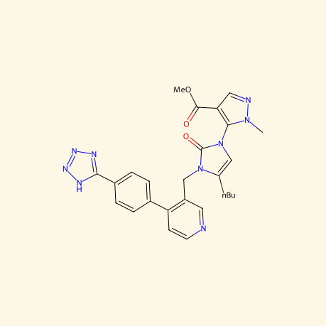 CCCCc1cn(-c2c(C(=O)OC)cnn2C)c(=O)n1Cc1cnccc1-c1ccc(-c2nnn[nH]2)cc1